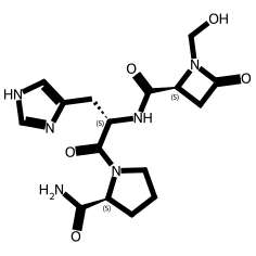 NC(=O)[C@@H]1CCCN1C(=O)[C@H](Cc1c[nH]cn1)NC(=O)[C@@H]1CC(=O)N1CO